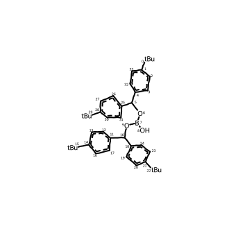 CC(C)(C)c1ccc(C(OB(O)OC(c2ccc(C(C)(C)C)cc2)c2ccc(C(C)(C)C)cc2)c2ccc(C(C)(C)C)cc2)cc1